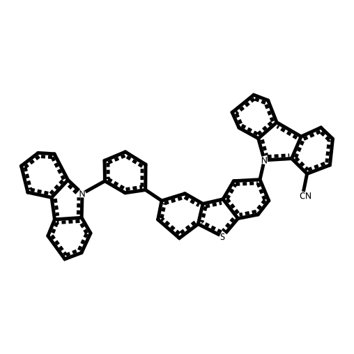 N#Cc1cccc2c3ccccc3n(-c3ccc4sc5ccc(-c6cccc(-n7c8ccccc8c8ccccc87)c6)cc5c4c3)c12